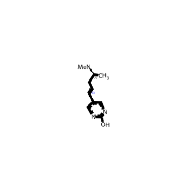 CN[C@@H](C)C/C=C/c1cnc(O)nc1